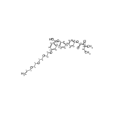 C=CCOCCOCCOCCOc1ccc(C(=O)O)c(-c2ccc(-c3ccc(OC(=O)[C@@H](Cl)[C@@H](C)CC)cc3)cc2)c1